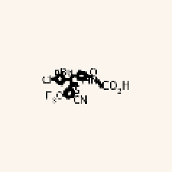 CCCC[C@H](c1ccc(C(=O)NCCC(=O)O)cc1)C(c1ccc(Cl)cc1)c1csc2c(C#N)cc(C(F)(F)F)cc12